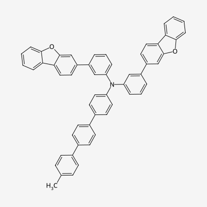 Cc1ccc(-c2ccc(-c3ccc(N(c4cccc(-c5ccc6c(c5)oc5ccccc56)c4)c4cccc(-c5ccc6c(c5)oc5ccccc56)c4)cc3)cc2)cc1